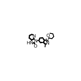 Cc1nn(C2CCCCO2)c2ccc(-n3c(=O)[nH]c4cccnc43)cc12